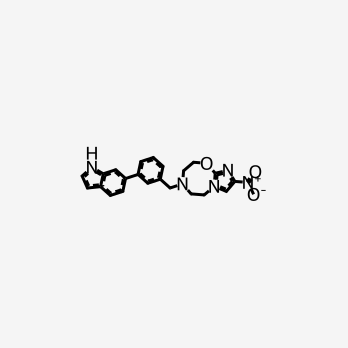 O=[N+]([O-])c1cn2c(n1)OCCN(Cc1cccc(-c3ccc4cc[nH]c4c3)c1)CC2